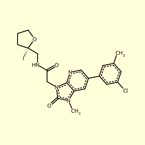 Cc1cc(Cl)cc(-c2cnc3c(c2)n(C)c(=O)n3CC(=O)NC[C@@]2(I)CCCO2)c1